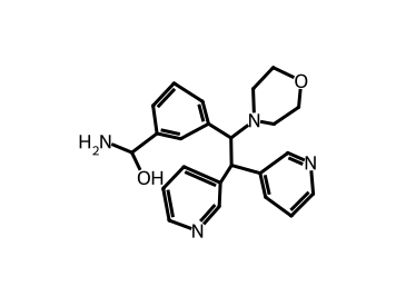 NC(O)c1cccc(C(C(c2cccnc2)c2cccnc2)N2CCOCC2)c1